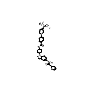 CN(C)C1CCN(c2ccc(C(=O)Nc3ccc(-n4ncc5cc(NC(=O)c6cccs6)ccc54)cc3)cc2)C1